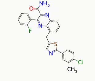 Cc1cc(-c2ncc(Cc3cccc4nc(C(N)=O)c(-c5ccccc5F)nc34)s2)ccc1Cl